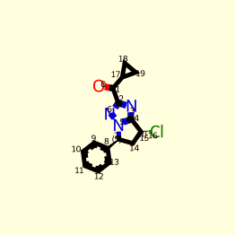 O=C(c1nc2n(n1)[C@H](c1ccccc1)C[C@H]2Cl)C1CC1